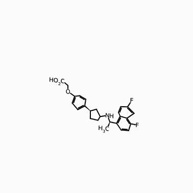 C[C@@H](NC1CC[C@@H](c2ccc(OCC(=O)O)cc2)C1)c1ccc(F)c2cc(F)ccc12